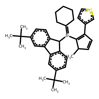 CC1C=CC(c2ccsc2)=[C]1[Zr](=[C]1CCCCC1)[CH]1c2ccc(C(C)(C)C)cc2-c2cc(C(C)(C)C)ccc21